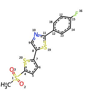 CS(=O)(=O)c1ccc(-c2cnc(-c3ccc(F)cc3)s2)s1